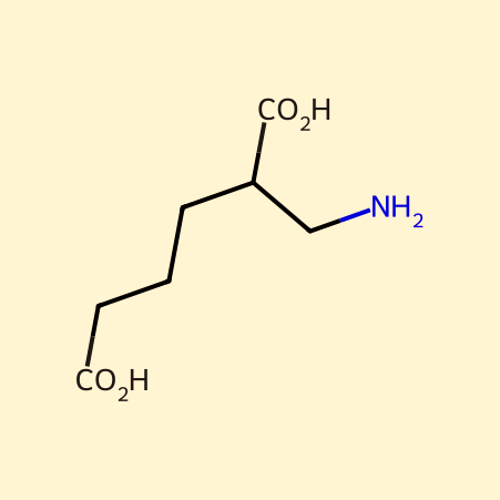 NCC(CCCC(=O)O)C(=O)O